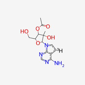 [3H]c1cn(C2OC(CO)C(OC(C)=O)C2(C)O)c2ncnc(N)c12